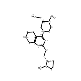 CN1CCC[C@H]1CSc1nc2c(c(N3CCN(C(=O)O)[C@@H](CC#N)C3)n1)CCNC2